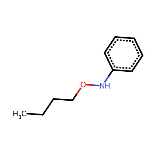 CCCCONc1ccccc1